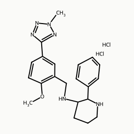 COc1ccc(-c2nnn(C)n2)cc1CNC1CCCNC1c1ccccc1.Cl.Cl